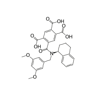 COc1cc(CN(C(=O)c2cc(C(=O)O)c(C(=O)O)cc2C(=O)O)[C@H]2CCCc3ccccc32)cc(OC)c1